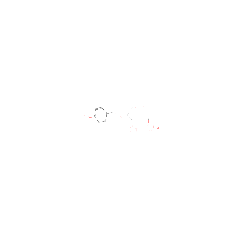 COc1ccc(CO[C@H]2CO[C@H](CO)[C@H]2O)cc1